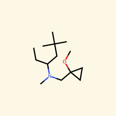 CCC(CC(C)(C)C)N(C)CC1(OC)CC1